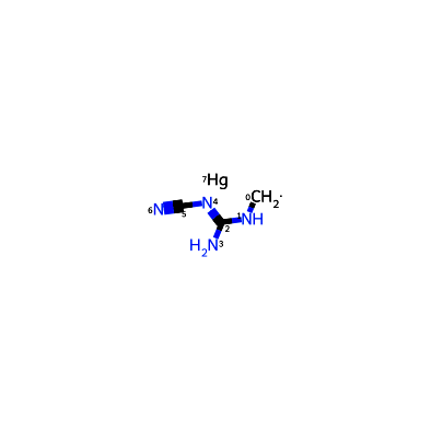 [CH2]NC(N)=NC#N.[Hg]